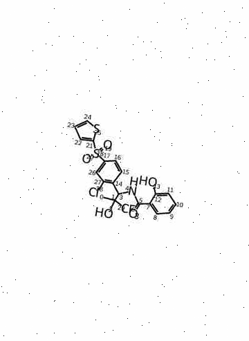 CC(O)(C(NC(=O)c1ccccc1O)c1ccc(S(=O)(=O)c2cccs2)cc1Cl)C(F)(F)F